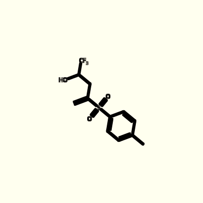 C=C(CC(O)C(F)(F)F)S(=O)(=O)c1ccc(C)cc1